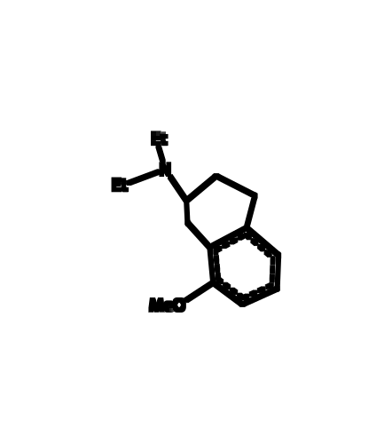 CCN(CC)C1CCc2cccc(OC)c2C1